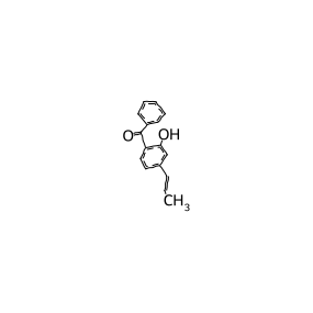 CC=Cc1ccc(C(=O)c2ccccc2)c(O)c1